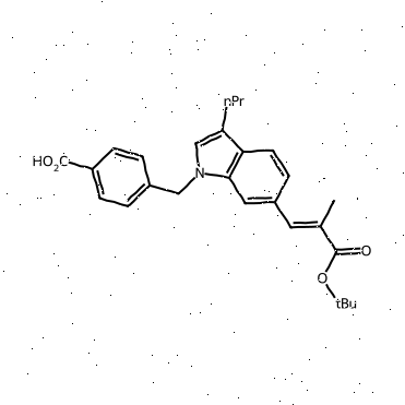 CCCc1cn(Cc2ccc(C(=O)O)cc2)c2cc(/C=C(\C)C(=O)OC(C)(C)C)ccc12